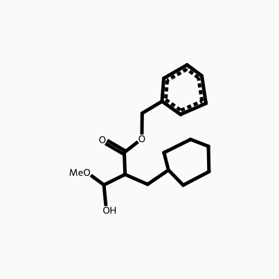 COC(O)C(CC1CCCCC1)C(=O)OCc1ccccc1